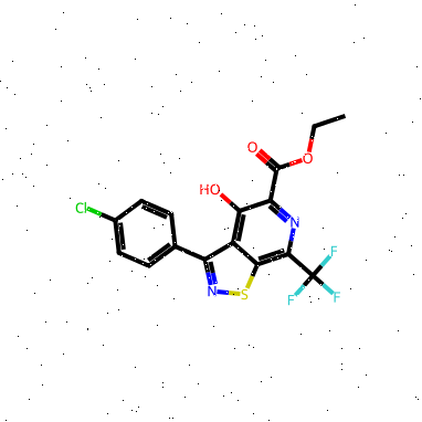 CCOC(=O)c1nc(C(F)(F)F)c2snc(-c3ccc(Cl)cc3)c2c1O